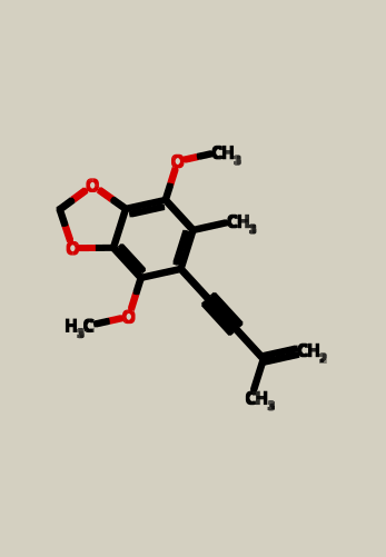 C=C(C)C#Cc1c(C)c(OC)c2c(c1OC)OCO2